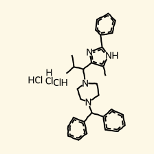 Cc1[nH]c(-c2ccccc2)nc1C(C(C)C)N1CCN(C(c2ccccc2)c2ccccc2)CC1.Cl.Cl.Cl